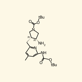 Cc1cc(C[C@@H]2CN(C(=O)OC(C)(C)C)C[C@@H]2N)nc(NC(=O)OC(C)(C)C)c1